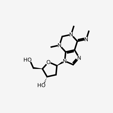 CN=C1c2ncn([C@H]3C[C@H](O)[C@@H](CO)O3)c2N(C)CN1C